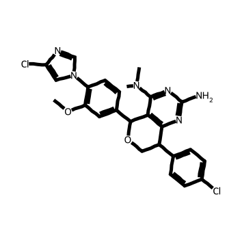 COc1cc(C2OCC(c3ccc(Cl)cc3)c3nc(N)nc(N(C)C)c32)ccc1-n1cnc(Cl)c1